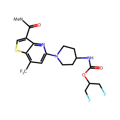 CNC(=O)c1csc2c(C(F)(F)F)cc(N3CCC(NC(=O)OC(CF)CF)CC3)nc12